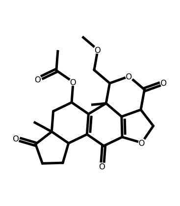 COCC1OC(=O)C2COC3=C2C1(C)C1=C(C3=O)C2CCC(=O)C2(C)CC1OC(C)=O